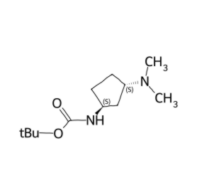 CN(C)[C@H]1CC[C@H](NC(=O)OC(C)(C)C)C1